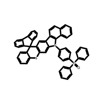 O=P(c1ccccc1)(c1ccccc1)c1ccc(-n2c3cc4c(cc3c3ccc5ccccc5c32)C2(c3ccccc3S4)c3ccccc3-c3ccccc32)cc1